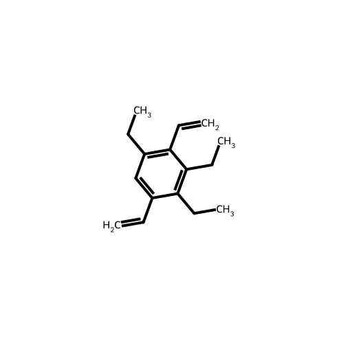 C=Cc1cc(CC)c(C=C)c(CC)c1CC